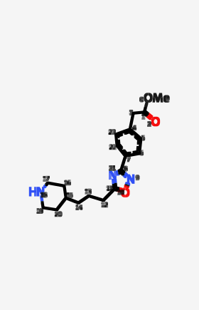 COC(=O)Cc1ccc(-c2noc(CCCC3CCNCC3)n2)cc1